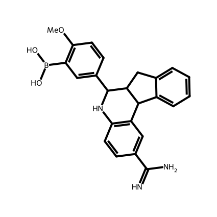 COc1ccc(C2Nc3ccc(C(=N)N)cc3C3c4ccccc4CC23)cc1B(O)O